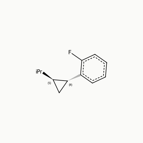 CC(C)[C@@H]1C[C@H]1c1ccccc1F